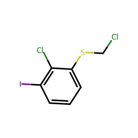 ClCSc1cccc(I)c1Cl